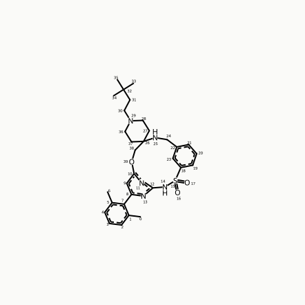 Cc1cccc(C)c1-c1cc2nc(n1)NS(=O)(=O)c1cccc(c1)CNC1(CCN(CCC(C)(C)C)CC1)CO2